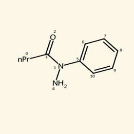 CCCC(=O)N(N)c1ccccc1